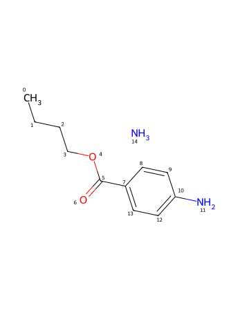 CCCCOC(=O)c1ccc(N)cc1.N